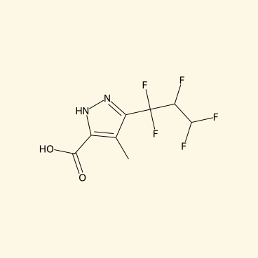 Cc1c(C(F)(F)C(F)C(F)F)n[nH]c1C(=O)O